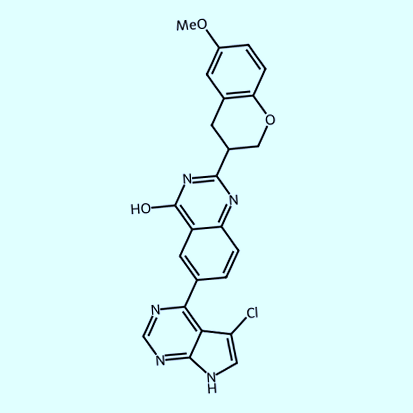 COc1ccc2c(c1)CC(c1nc(O)c3cc(-c4ncnc5[nH]cc(Cl)c45)ccc3n1)CO2